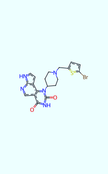 O=c1[nH]c(=O)n(C2CCN(Cc3ccc(Br)s3)CC2)c2c1cnc1[nH]ccc12